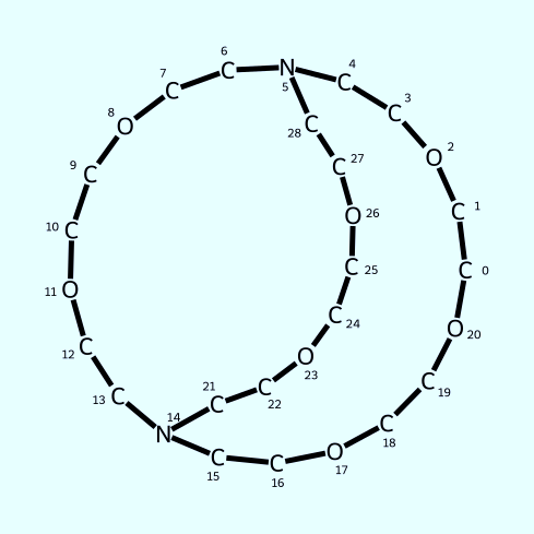 C1COCCN2CCOCCOCCN(CCOCCO1)CCOCCOCC2